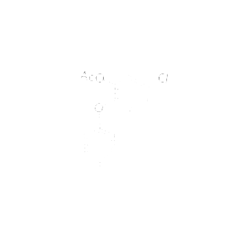 CC(=O)Oc1cc(Cl)ccc1Oc1ccccc1